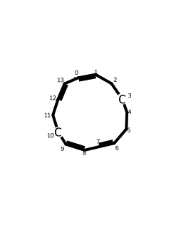 [C]1=CCCCCC=CC=CCCC=C1